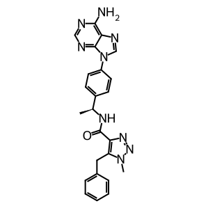 C[C@H](NC(=O)c1nnn(C)c1Cc1ccccc1)c1ccc(-n2cnc3c(N)ncnc32)cc1